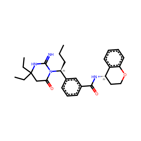 CCC[C@@H](c1cccc(C(=O)N[C@H]2CCOc3ccccc32)c1)N1C(=N)NC(CC)(CC)CC1=O